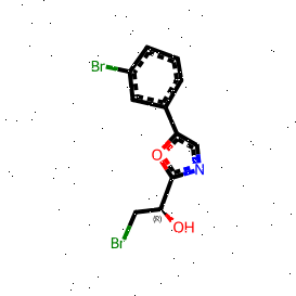 O[C@@H](CBr)c1ncc(-c2cccc(Br)c2)o1